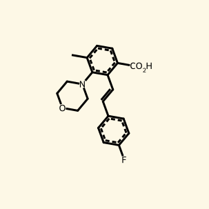 Cc1ccc(C(=O)O)c(C=Cc2ccc(F)cc2)c1N1CCOCC1